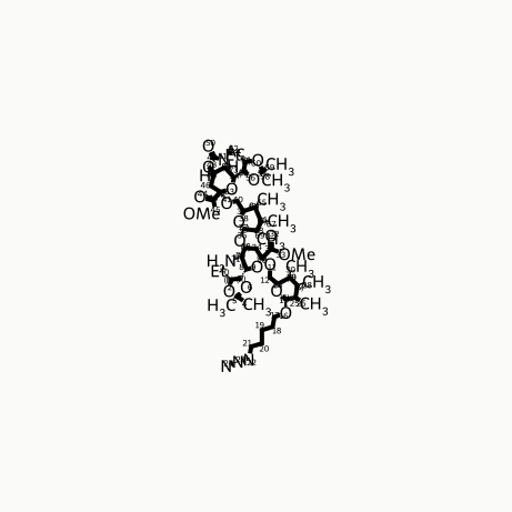 CC[C@H]1OC(C)(C)O[C@H]1C1O[C@@](OCC2O[C@H](OCCCCCN=[N+]=[N-])C(C)[C@@H](C)[C@H]2C)(C(=O)OC)C[C@@H](O[C@H]2OC(CO[C@]3(C(=O)OC)C[C@H]4OC(=O)N(C(C)=O)[C@H]4C([C@@H]4OC(C)(C)O[C@@H]4CC)O3)[C@H](C)[C@H](C)C2C)[C@H]1N